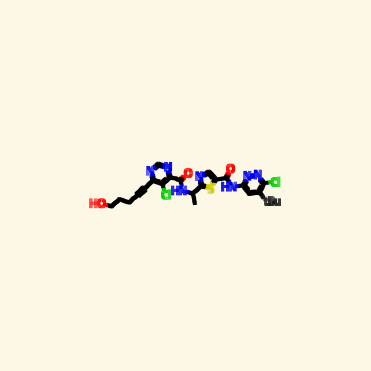 CC(NC(=O)c1ncnc(C#CCCCO)c1Cl)c1ncc(C(=O)Nc2cc(C(C)(C)C)c(Cl)nn2)s1